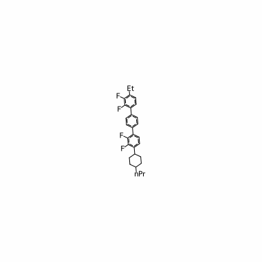 CCCC1CCC(c2ccc(-c3ccc(-c4ccc(CC)c(F)c4F)cc3)c(F)c2F)CC1